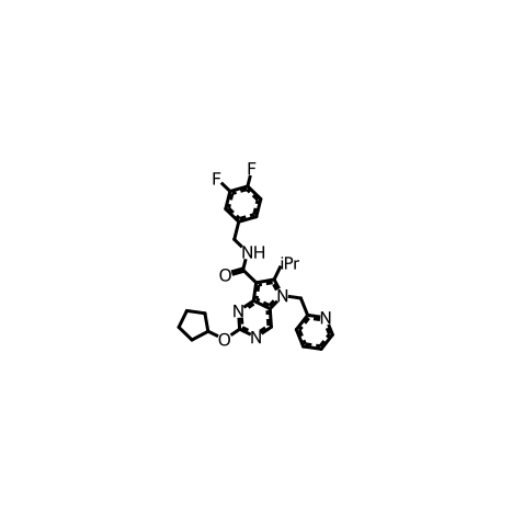 CC(C)c1c(C(=O)NCc2ccc(F)c(F)c2)c2nc(OC3CCCC3)ncc2n1Cc1ccccn1